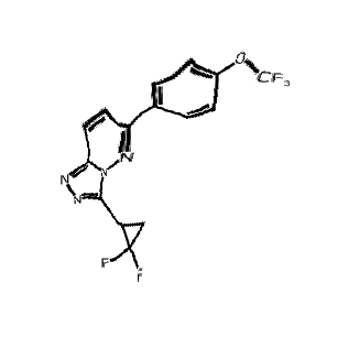 FC(F)(F)Oc1ccc(-c2ccc3nnc(C4CC4(F)F)n3n2)cc1